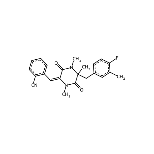 Cc1cc(CC2(C)C(=O)N(C)C(=Cc3ccccc3C#N)C(=O)N2C)ccc1F